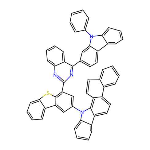 c1ccc(-n2c3ccccc3c3ccc(-c4nc(-c5cc(-n6c7ccccc7c7ccc8c9ccccc9ccc8c76)cc6c5sc5ccccc56)nc5ccccc45)cc32)cc1